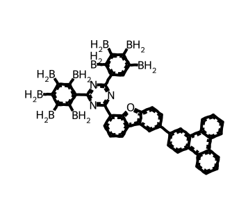 Bc1cc(-c2nc(-c3c(B)c(B)c(B)c(B)c3B)nc(-c3cccc4c3oc3ccc(-c5ccc6c7ccccc7c7ccccc7c6c5)cc34)n2)c(B)c(B)c1B